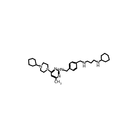 Cc1cc(N2CCN(C3CCCCC3)CC2)nc(NCc2ccc(CNCCCNC3CCCCC3)cc2)n1